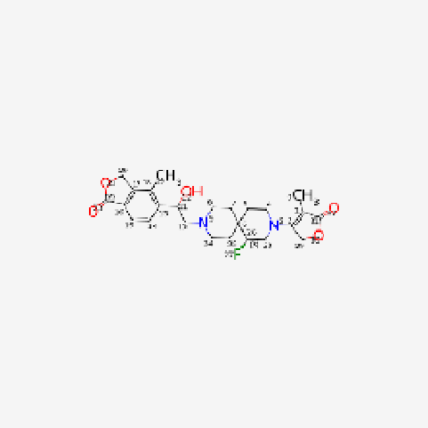 CC1=C(N2CCC3(CCN(CC(O)c4ccc5c(c4C)COC5=O)CC3)[C@H](F)C2)COC1=O